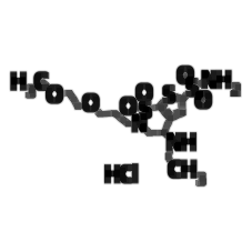 CCNC1CN(CCCOCCOC)S(=O)(=O)c2sc(S(N)(=O)=O)cc21.Cl